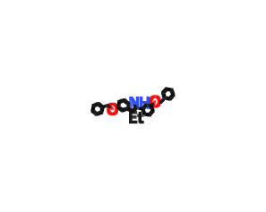 CCc1c(-c2cccc(OCc3ccccc3)c2)[nH]c2ccc(OCc3ccccc3)cc12